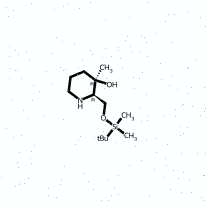 CC(C)(C)[Si](C)(C)OC[C@H]1NCCC[C@@]1(C)O